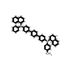 Cc1ccc(N(c2ccc(-c3ccc(-c4ccc(N(c5ccccc5)c5cccc6ccccc56)cc4)cc3)cc2)c2cccc3ccccc23)cc1